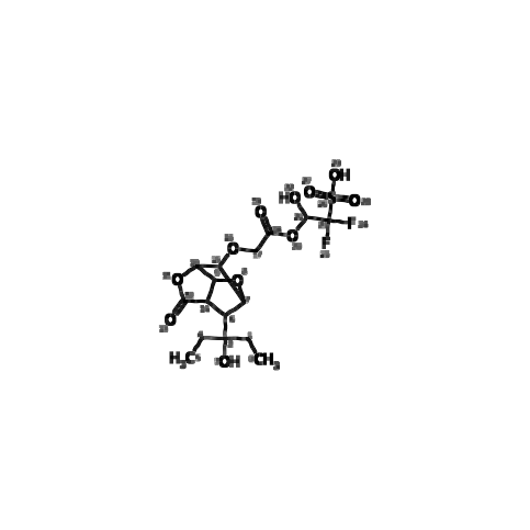 CCC(O)(CC)C1C2OC3C(OC(=O)C31)C2OCC(=O)OC(O)C(F)(F)S(=O)(=O)O